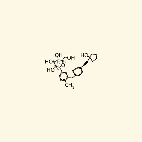 Cc1ccc([C@@H]2O[C@H](CO)[C@@H](O)[C@H](O)[C@H]2O)cc1Cc1ccc(C#CC2(O)CCCC2)cc1